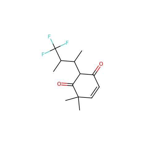 CC(C1C(=O)C=CC(C)(C)C1=O)C(C)C(F)(F)F